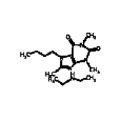 CCCCn1c(C)nc2c1c(=O)n(C)c(=O)n2C.CCNCC